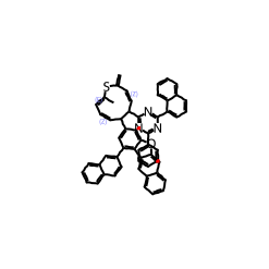 C=C1/C=C\C(c2nc(-c3ccccc3)nc(-c3cccc4ccccc34)n2)C(c2cc(-c3ccc4ccccc4c3)c3c(c2)oc2cc4ccccc4cc23)/C=C\C=C(/C)S1